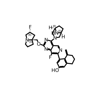 C=C1CCCc2cc(O)cc(-c3ncc4c(N5C[C@H]6CC[C@@H](C5)N6)nc(OC[C@@]56CCCN5C[C@H](F)C6)nc4c3F)c21